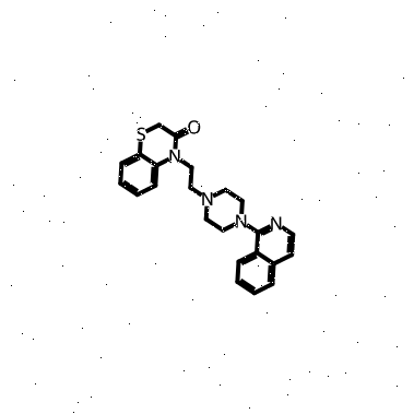 O=C1CSc2ccccc2N1CCN1CCN(c2nccc3ccccc23)CC1